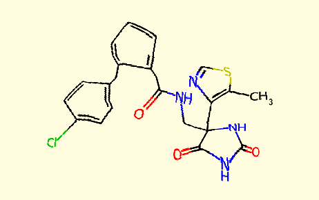 Cc1scnc1C1(CNC(=O)c2ccccc2-c2ccc(Cl)cc2)NC(=O)NC1=O